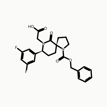 O=C(O)CN1C(=O)[C@@]2(CCCN2C(=O)OCc2ccccc2)CC[C@H]1c1cc(F)cc(F)c1